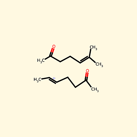 C/C=C/CCC(C)=O.CC(=O)CCC=C(C)C